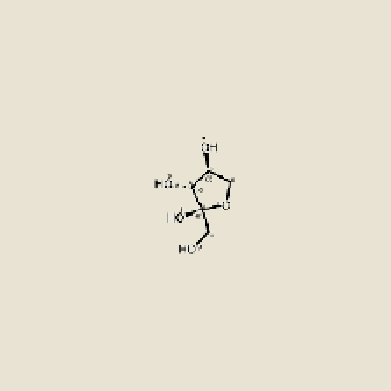 OC[C@@]1(O)OC[C@H](O)[C@H]1O